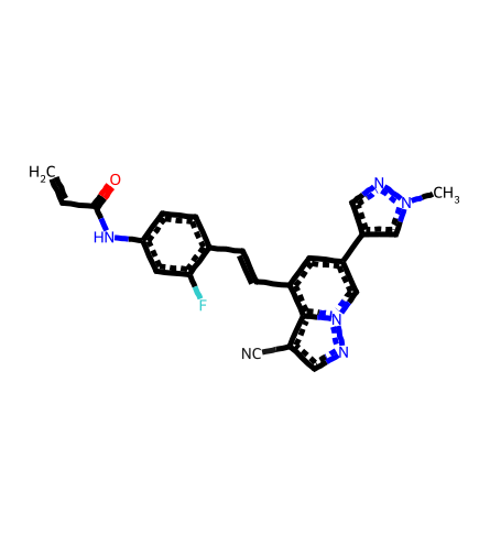 C=CC(=O)Nc1ccc(/C=C/c2cc(-c3cnn(C)c3)cn3ncc(C#N)c23)c(F)c1